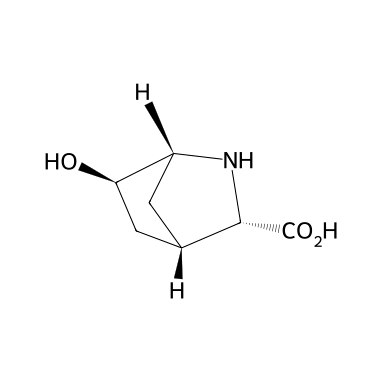 O=C(O)[C@H]1N[C@@H]2C[C@H]1C[C@H]2O